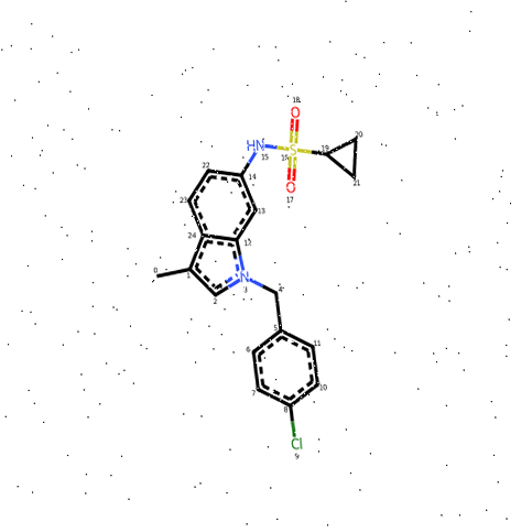 Cc1cn(Cc2ccc(Cl)cc2)c2cc(NS(=O)(=O)C3CC3)ccc12